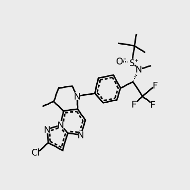 CC1CCN(c2ccc([C@H](N(C)[S@+]([O-])C(C)(C)C)C(F)(F)F)cc2)c2cnc3cc(Cl)nn3c21